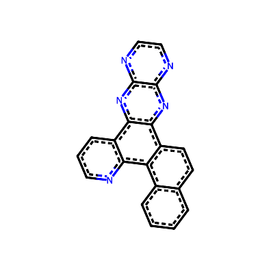 c1ccc2c(c1)ccc1c3nc4nccnc4nc3c3cccnc3c21